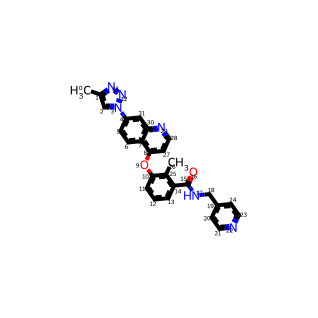 Cc1cn(-c2ccc3c(Oc4cccc(C(=O)NCc5ccncc5)c4C)ccnc3c2)nn1